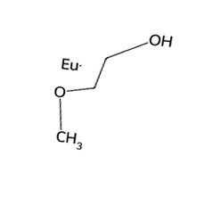 COCCO.[Eu]